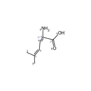 CC(C)=C/C=C(/N)C(=O)O